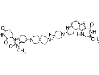 C[C@@H]1CNc2c(sc3ccc4nc(N5CCC(F)(CN6CCC7(CC6)CCN(c6ccc8c(c6)n(C)c(=O)n8C6CCC(=O)NC6=O)CC7)CC5)ccc4c23)C(=O)N1